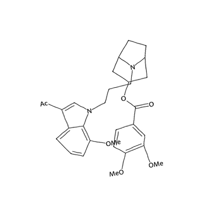 COc1ccc(C(=O)OC2CC3CCC(C2)N3CCCn2cc(C(C)=O)c3cccc(OC)c32)cc1OC